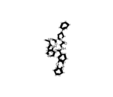 CC(NC(=O)[C@@H]1C[C@@H](c2ccccc2)CN1C(=O)CNC(=O)c1ccc2c(c1)Oc1ccccc1S2)c1cc2cnccc2[nH]1